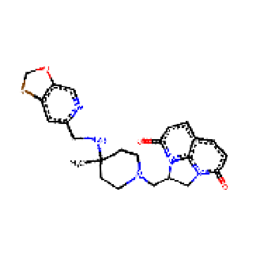 CC1(NCc2cc3c(cn2)OCS3)CCN(CC2Cn3c(=O)ccc4ccc(=O)n2c43)CC1